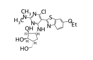 CCOc1ccc2nc(-c3c(Cl)nc(N(C)C)nc3N[C@@H]3C[C@H](CO)[C@@H](O)[C@H]3O)sc2c1